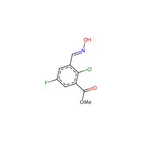 COC(=O)c1cc(F)cc(/C=N/O)c1Cl